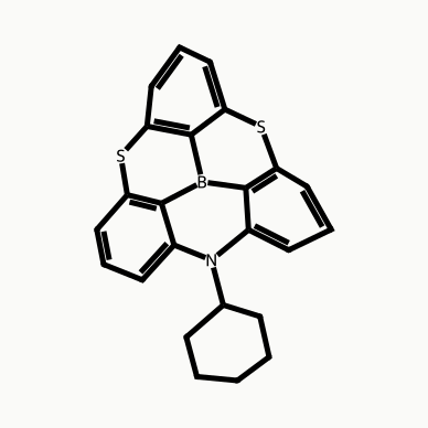 c1cc2c3c(c1)Sc1cccc4c1B3c1c(cccc1N4C1CCCCC1)S2